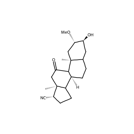 CO[C@H]1C[C@@]2(C)C(CC[C@@H]3C2C(=O)C[C@@]2(C)C3CC[C@@H]2C#N)C[C@@H]1O